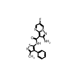 Cc1nsc(NC(=O)c2c(N)nn3cc(F)cnc23)c1-c1ccccc1